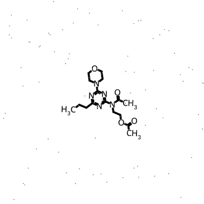 CCCc1nc(N2CCOCC2)nc(N(CCOC(C)=O)C(C)=O)n1